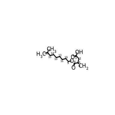 C=C(CC(=O)O)C(=O)OCCCCCCCC(C)C